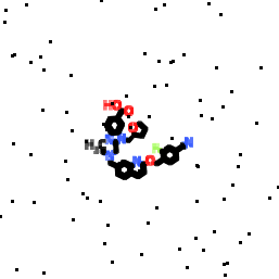 CCN(Cc1ccc2ccc(OCc3ccc(C#N)cc3F)nc2c1)Cc1nc2ccc(C(=O)O)cc2n1C[C@@H]1CCCO1